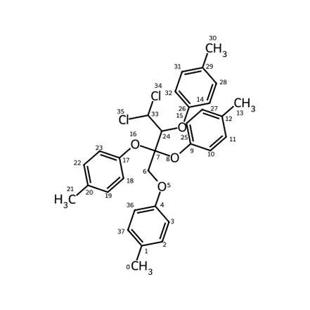 Cc1ccc(OCC(Oc2ccc(C)cc2)(Oc2ccc(C)cc2)C(Oc2ccc(C)cc2)C(Cl)Cl)cc1